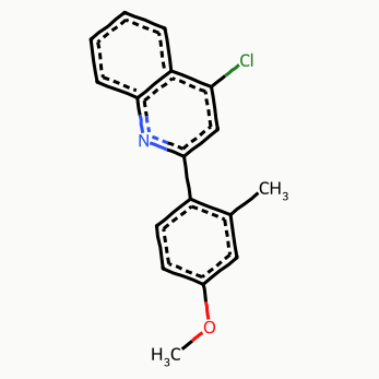 COc1ccc(-c2cc(Cl)c3ccccc3n2)c(C)c1